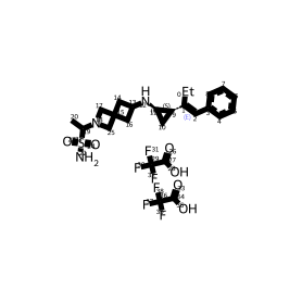 CC/C(=C\c1ccccc1)[C@@H]1C[C@H]1NC1CC2(C1)CN(C(C)S(N)(=O)=O)C2.O=C(O)C(F)(F)F.O=C(O)C(F)(F)F